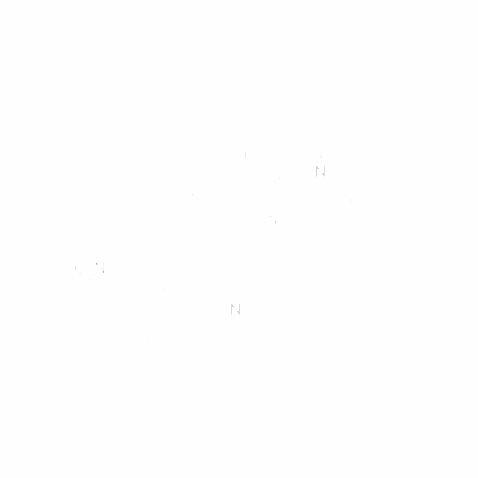 O=C(Oc1ccc([N+](=O)[O-])c2cccnc12)N1CCCC1